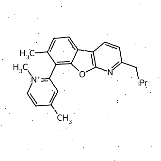 Cc1cc[n+](C)c(-c2c(C)ccc3c2oc2nc(CC(C)C)ccc23)c1